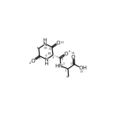 CC(NC(=O)[C@@H]1NC(=O)CNC1=O)C(=O)O